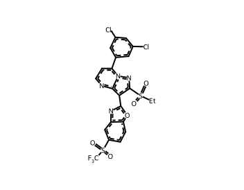 CCS(=O)(=O)c1nn2c(-c3cc(Cl)cc(Cl)c3)ccnc2c1-c1nc2cc(S(=O)(=O)C(F)(F)F)ccc2o1